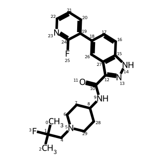 CC(C)(F)CN1CCC(NC(=O)c2n[nH]c3ccc(-c4cccnc4F)cc23)CC1